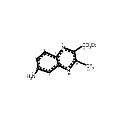 CCOC(=O)c1nc2ccc(N)cc2nc1C(F)(F)F